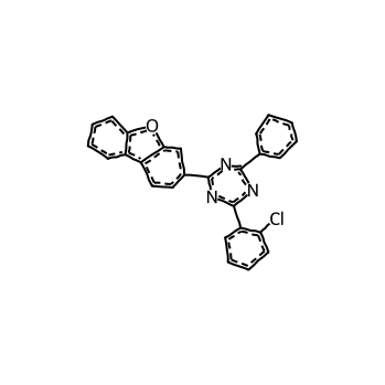 Clc1ccccc1-c1nc(-c2ccccc2)nc(-c2ccc3c(c2)oc2ccccc23)n1